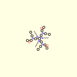 CCCCCCn1c2cc(N(c3ccc(-c4ccccc4)cc3)c3ccc4oc5ccccc5c4c3)ccc2c2c1c1c3ccc(N(c4ccc(-c5ccccc5)cc4)c4ccc5oc6ccccc6c5c4)cc3n(CCCCCC)c1c1c3ccc(N(c4ccc(-c5ccccc5)cc4)c4ccc5oc6ccccc6c5c4)cc3n(CCCCCC)c21